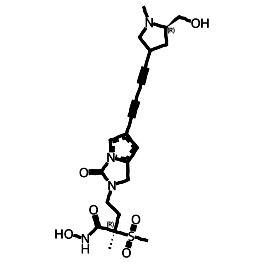 CN1CC(C#CC#Cc2cc3n(c2)C(=O)N(CC[C@](C)(C(=O)NO)S(C)(=O)=O)C3)C[C@@H]1CO